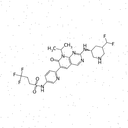 CC(C)n1c(=O)c(-c2ccc(NS(=O)(=O)CCC(F)(F)F)cn2)cc2cnc(N[C@@H]3CNCC(C(F)F)C3)nc21